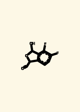 O=CC1OC(O)c2c1ccc(F)c2F